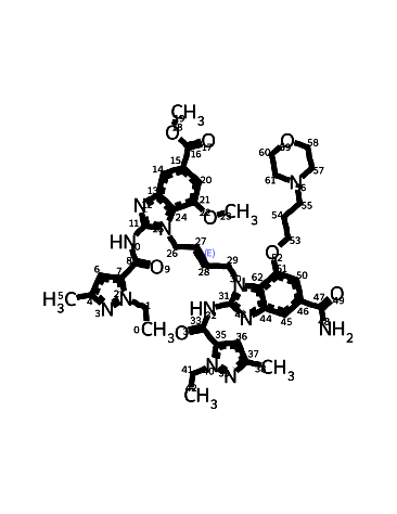 CCn1nc(C)cc1C(=O)Nc1nc2cc(C(=O)OC)cc(OC)c2n1C/C=C/Cn1c(NC(=O)c2cc(C)nn2CC)nc2cc(C(N)=O)cc(OCCCN3CCOCC3)c21